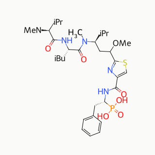 CCC(C)[C@H](NC(=O)[C@@H](NC)C(C)C)C(=O)N(C)[C@H](CC(OC)c1nc(C(=O)N[C@@H](Cc2ccccc2)P(=O)(O)O)cs1)C(C)C